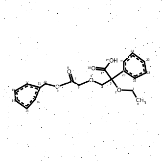 CCOC(COCC(=O)OCc1ccccc1)(C(=O)O)c1ccccc1